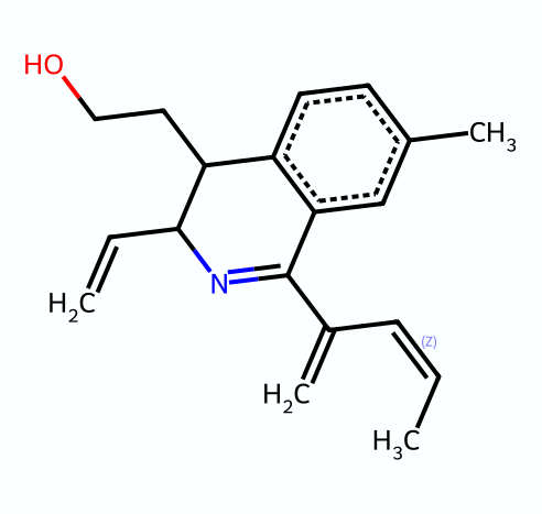 C=CC1N=C(C(=C)/C=C\C)c2cc(C)ccc2C1CCO